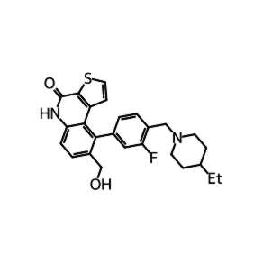 CCC1CCN(Cc2ccc(-c3c(CO)ccc4[nH]c(=O)c5sccc5c34)cc2F)CC1